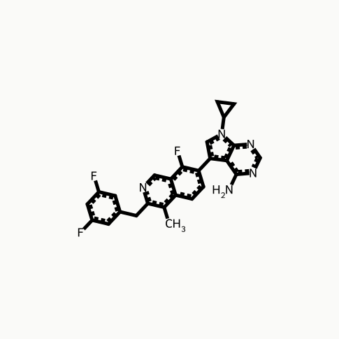 Cc1c(Cc2cc(F)cc(F)c2)ncc2c(F)c(-c3cn(C4CC4)c4ncnc(N)c34)ccc12